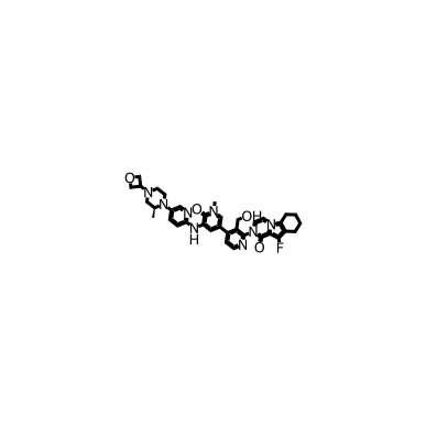 C[C@H]1CN(C2COC2)CCN1c1ccc(Nc2cc(-c3ccnc(-n4ccn5c6c(c(F)c5c4=O)CCCC6)c3CO)cn(C)c2=O)nc1